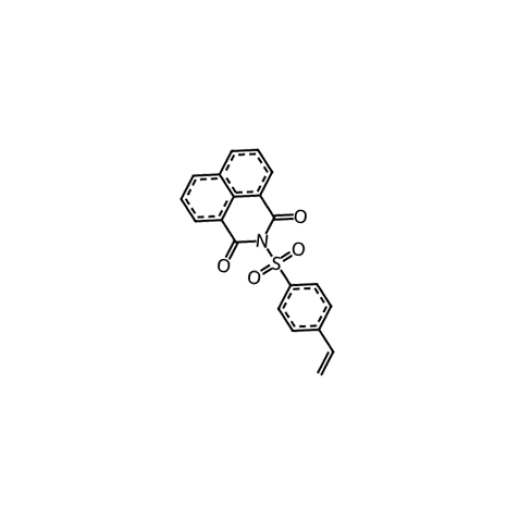 C=Cc1ccc(S(=O)(=O)N2C(=O)c3cccc4cccc(c34)C2=O)cc1